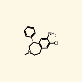 CN1CCc2cc(Cl)c(N)cc2[C@@H](c2ccccc2)C1